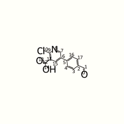 O=Cc1ccc(-c2cnc(Cl)c(C(=O)O)c2)cc1